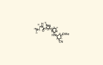 COc1cc(C#N)cc(Nc2nccc(-c3cc(C(=O)N[C@@H](C)CN(C)C)n(C)n3)n2)c1